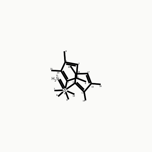 CC1=CC(C)[C]([Zr]([CH3])([CH3])([CH3])([CH3])(=[SiH2])[C]2=C(C)C(C)=CC2C)=C1C